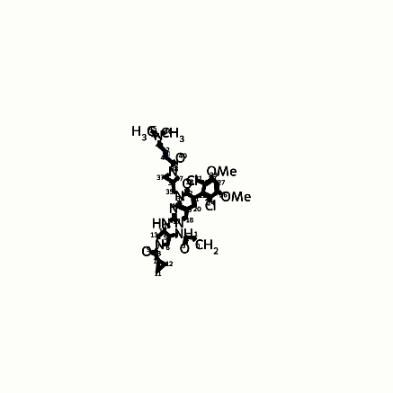 C=CC(=O)NC1CN(C(=O)C2CC2)CC1Nc1ncc2cc(-c3c(Cl)c(OC)cc(OC)c3Cl)c(=O)n(CC3CN(C(=O)/C=C/CN(C)C)C3)c2n1